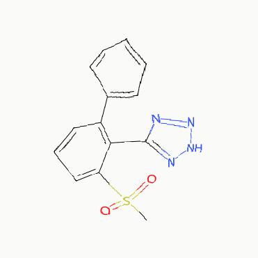 CS(=O)(=O)c1cccc(-c2ccccc2)c1-c1nn[nH]n1